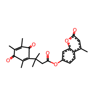 CC1=C(C)C(=O)C(C(C)(C)CC(=O)Oc2ccc3c(C)cc(=O)oc3c2)=C(C)C1=O